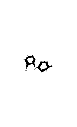 [CH2]c1ccc(Oc2ccccc2F)cc1